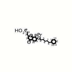 CCCc1c(OCCCCCc2ccccc2)ccc2c(=O)cc(CCC(=O)O)oc12